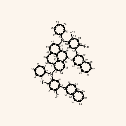 Fc1cc(F)c(N(c2ccccc2)c2ccc3ccc4c(N(c5ccccc5)c5cc(-c6ccc7ccccc7c6)c(F)cc5F)ccc5ccc2c3c54)cc1-c1ccc2ccccc2c1